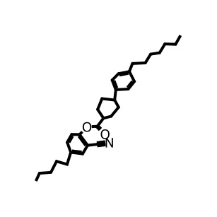 CCCCCCCc1ccc(C2CCC(C(=O)Oc3ccc(CCCCC)cc3C#N)CC2)cc1